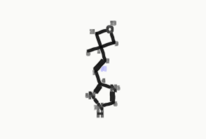 CC1(/C=C/c2nc[nH]n2)COC1